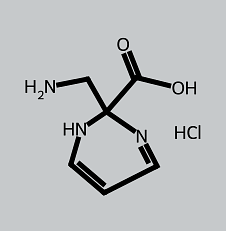 Cl.NCC1(C(=O)O)N=CC=CN1